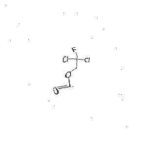 O=[C]OCC(F)(Cl)Cl